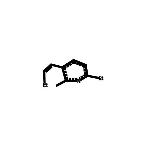 CC/C=C\c1ccc(CC)nc1C